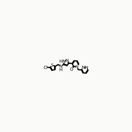 O=c1c(-c2cc(NCc3ccc(Cl)s3)[nH]n2)cccn1Cc1cccnn1